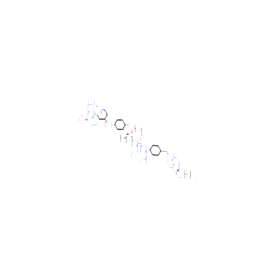 CN1CCN(Cc2ccc(NC(=O)N[C@@H]3[C@H]4Oc5ccc(Oc6ccnc7c6CCC(=O)N7)cc5[C@@H]34)cc2)CC1